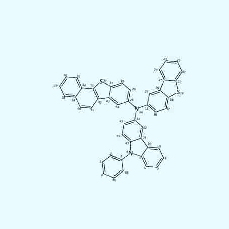 c1ccc(-n2c3ccccc3c3cc(N(c4ccc5sc6ccccc6c5c4)c4ccc5sc6c7ccccc7ccc6c5c4)ccc32)cc1